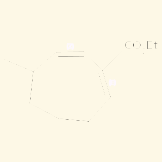 CCOC(=O)C1=C/CCCC(C)/C=C\1